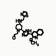 COc1nc2ccccc2cc1-c1cnc([C@@H]2C[C@H](NCc3nccs3)CCN2CC=O)[nH]1